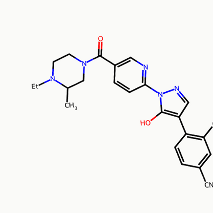 CCN1CCN(C(=O)c2ccc(-n3ncc(-c4ccc(C#N)cc4C)c3O)nc2)CC1C